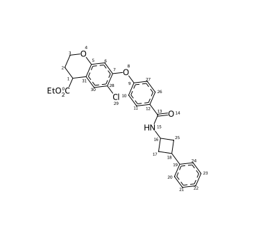 CCOC(=O)C1CCOc2cc(Oc3ccc(C(=O)NC4CC(c5ccccc5)C4)cc3)c(Cl)cc21